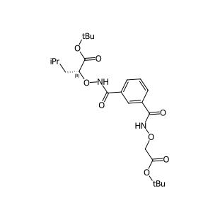 CC(C)C[C@@H](ONC(=O)c1cccc(C(=O)NOCC(=O)OC(C)(C)C)c1)C(=O)OC(C)(C)C